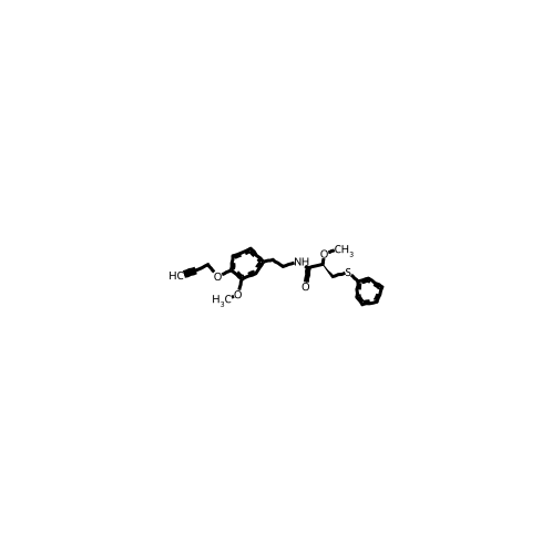 C#CCOc1ccc(CCNC(=O)[C@H](CSc2ccccc2)OC)cc1OC